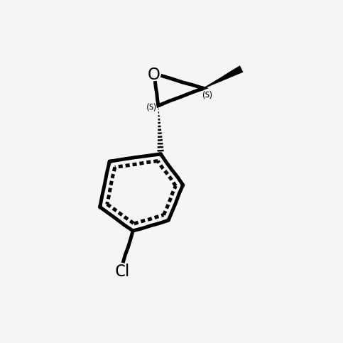 C[C@@H]1O[C@H]1c1ccc(Cl)cc1